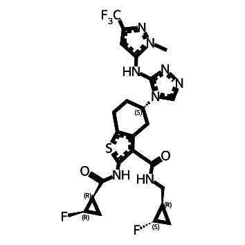 Cn1nc(C(F)(F)F)cc1Nc1nncn1[C@H]1CCc2sc(NC(=O)[C@H]3C[C@H]3F)c(C(=O)NC[C@H]3C[C@@H]3F)c2C1